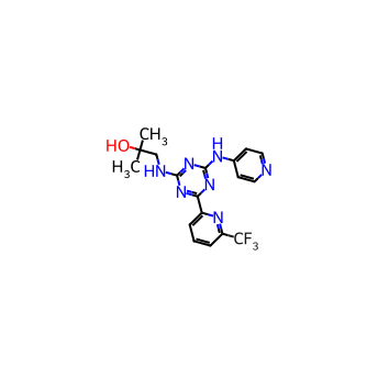 CC(C)(O)CNc1nc(Nc2ccncc2)nc(-c2cccc(C(F)(F)F)n2)n1